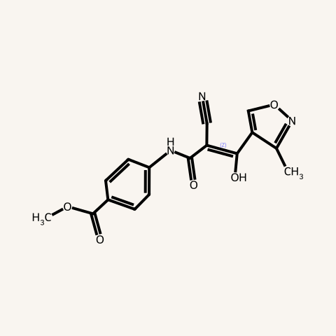 COC(=O)c1ccc(NC(=O)/C(C#N)=C(\O)c2conc2C)cc1